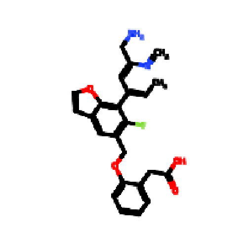 C=N/C(=C\C(=C/C)c1c(F)c(COc2ccccc2CC(=O)O)cc2ccoc12)CN